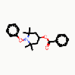 CC1(C)CC(OC(=O)c2ccccc2)CC(C)(C)N1Oc1ccccc1